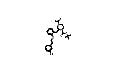 CC(C)(C)OC(=O)N1CCN(C(=O)O)CC1Cc1ccccc1OCCc1cccc(Cl)c1